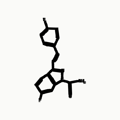 NC(=O)n1nc(/C=C/c2ccc(F)cc2)c2c[c]c(F)cc21